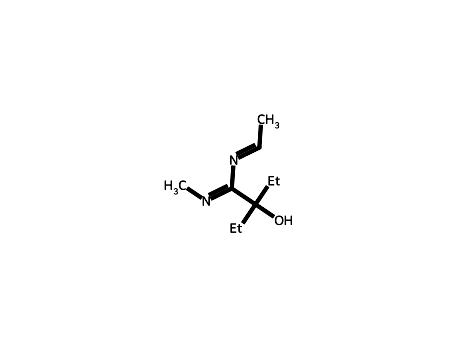 C/C=N/C(=N\C)C(O)(CC)CC